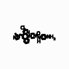 Cc1nccn1CC1=Cc2ccccc2C(N2CCN(C(=O)Nc3ccc(N)cc3)CC2)c2ncc(Cl)cc21